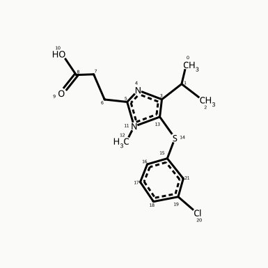 CC(C)c1nc(CCC(=O)O)n(C)c1Sc1cccc(Cl)c1